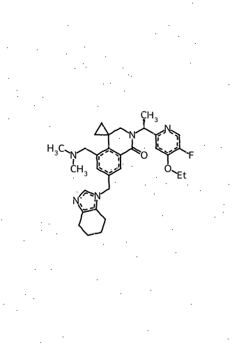 CCOc1cc([C@H](C)N2CC3(CC3)c3c(CN(C)C)cc(Cn4cnc5c4CCCC5)cc3C2=O)ncc1F